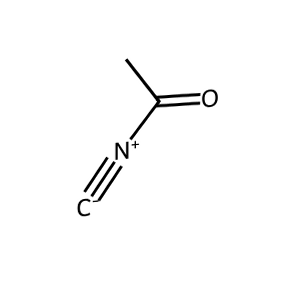 [C-]#[N+]C(C)=O